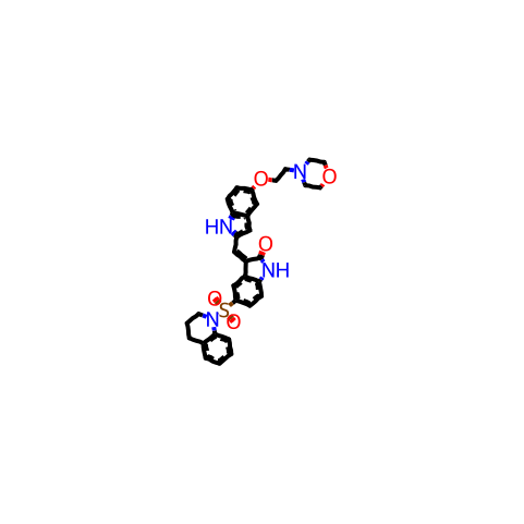 O=C1Nc2ccc(S(=O)(=O)N3CCCc4ccccc43)cc2C1=Cc1cc2cc(OCCN3CCOCC3)ccc2[nH]1